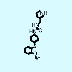 O=C(NCC1=CNCC=C1)Nc1ccc(Sc2ccccc2OCF)cc1